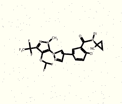 CCN(C(=O)c1cc(-c2cnn(-c3c(OC(F)F)c(C(F)(F)C(F)(F)F)nn3C)c2)ccc1Cl)C1(C#N)CC1